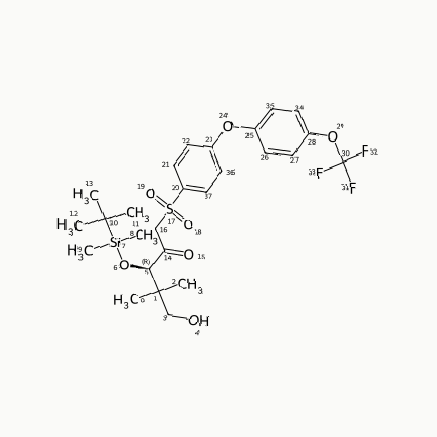 CC(C)(CO)[C@@H](O[Si](C)(C)C(C)(C)C)C(=O)CS(=O)(=O)c1ccc(Oc2ccc(OC(F)(F)F)cc2)cc1